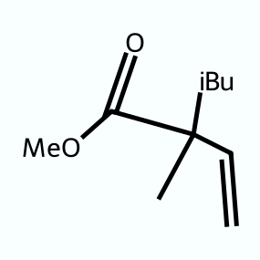 C=CC(C)(C(=O)OC)C(C)CC